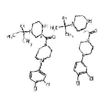 CCC(C)(C)N1CCN[C@@H](C(=O)N2CCN(c3ccc(Cl)c(Cl)c3)CC2)C1.CCC(C)(C)N1CCN[C@H](C(=O)N2CCN(c3ccc(Cl)c(Cl)c3)CC2)C1